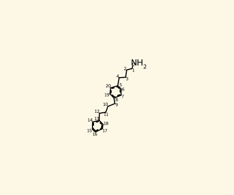 NCCCCc1ccc(CCCCc2ccccc2)cc1